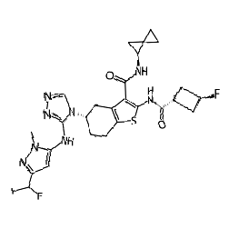 Cn1nc(C(F)F)cc1Nc1nncn1[C@H]1CCc2sc(NC(=O)[C@H]3C[C@H](F)C3)c(C(=O)N[C@H]3CC34CC4)c2C1